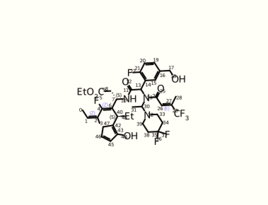 C/C=C(C)\C(F)=C(\[C@H](CC(=O)OCC)NC(=O)C(c1cc(CO)ccc1F)N(C(=O)/C=C(\C)C(F)(F)F)C(C)N1CCC(F)(F)CC1)[C@@H](CC)C1=C(O)C=CC1